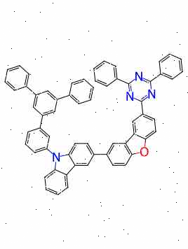 c1ccc(-c2cc(-c3ccccc3)cc(-c3cccc(-n4c5ccccc5c5cc(-c6ccc7oc8ccc(-c9nc(-c%10ccccc%10)nc(-c%10ccccc%10)n9)cc8c7c6)ccc54)c3)c2)cc1